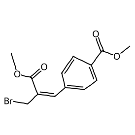 COC(=O)/C(=C\c1ccc(C(=O)OC)cc1)CBr